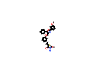 COc1cccc(-c2nc(CO[C@H]3CCC[C@@H](CCC4SC(=O)NC4=O)C3)c(C3CCCCC3)o2)c1